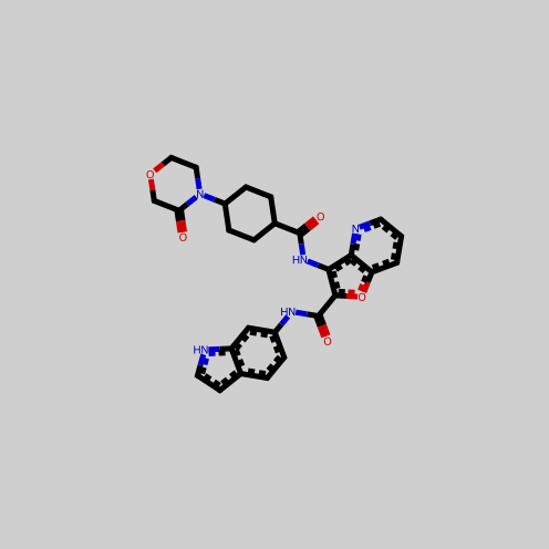 O=C(Nc1ccc2cc[nH]c2c1)c1oc2cccnc2c1NC(=O)C1CCC(N2CCOCC2=O)CC1